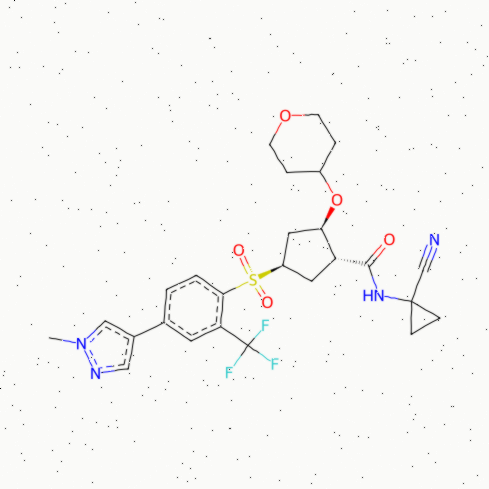 Cn1cc(-c2ccc(S(=O)(=O)[C@H]3C[C@@H](OC4CCOCC4)[C@H](C(=O)NC4(C#N)CC4)C3)c(C(F)(F)F)c2)cn1